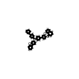 c1ccc(-c2ccc(N(c3ccc(-c4ccc5c(c4)Oc4cccc6cccc(c46)O5)cc3)c3ccc4c(c3)oc3ccccc34)cc2)cc1